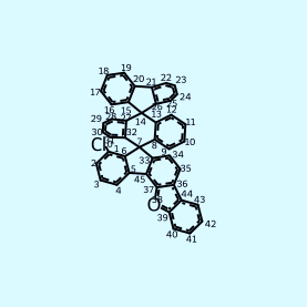 Clc1cccc2c1C1(c3ccccc3C3(c4ccccc4-c4ccccc43)c3ccccc31)c1ccc3c(oc4ccccc43)c1-2